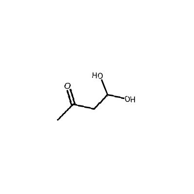 CC(=O)C[C](O)O